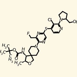 C[C@@H]1OCC2(CCN(c3ncc(Sc4ccnc(N5CCCC5CO)c4Cl)nc3CF)CC2)[C@@H]1NC(=O)OC(C)(C)C